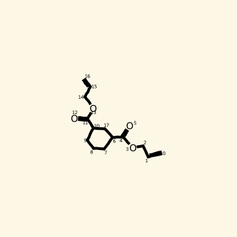 C=CCOC(=O)C1CCCC(C(=O)OCC=C)C1